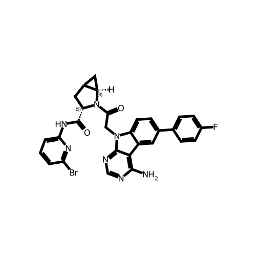 Nc1ncnc2c1c1cc(-c3ccc(F)cc3)ccc1n2CC(=O)N1[C@@H]2CC2C[C@H]1C(=O)Nc1cccc(Br)n1